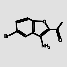 CC(=O)c1oc2ccc(Br)cc2c1N